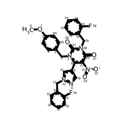 COc1ccc(Cn2c(-c3cnn(Cc4ccccc4F)c3)c([N+](=O)[O-])c(=O)n(Cc3ccccc3F)c2=O)cc1